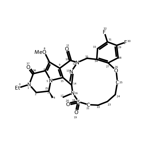 CCN1C[C@H](C)n2c(c(OC)c3c(=O)n4nc(c32)N(C)S(=O)(=O)CCCCCOc2cc(F)c(F)cc2C4)C1=O